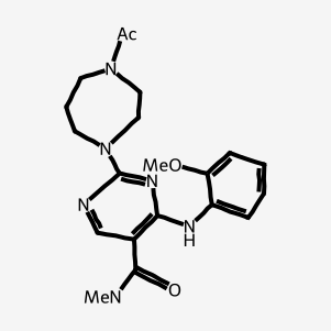 CNC(=O)c1cnc(N2CCCN(C(C)=O)CC2)nc1Nc1ccccc1OC